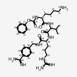 CC(C)C(NC(=O)[C@H](CCCCN)NC(=O)Oc1ccccc1)C(=O)N[C@@H](CCCNC(=N)N)C(=O)NCc1ccc(C(=N)N)cc1